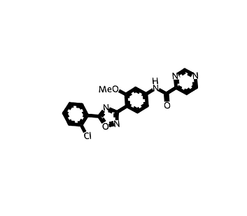 COc1cc(NC(=O)c2ccncn2)ccc1-c1noc(-c2ccccc2Cl)n1